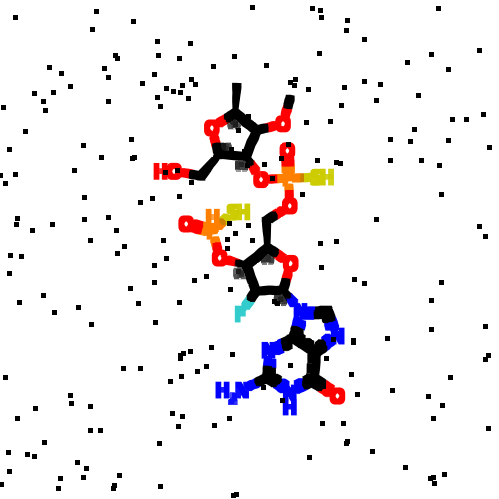 COC1[C@H](C)O[C@H](CO)[C@@H]1OP(=O)(S)OC[C@H]1O[C@@H](n2cnc3c(=O)[nH]c(N)nc32)C(F)[C@H]1O[PH](=O)S